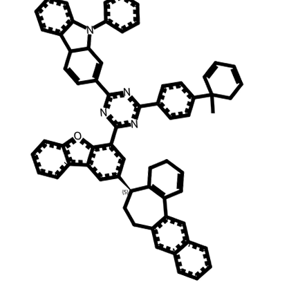 CC1(c2ccc(-c3nc(C4=CC5C(C=C4)c4ccccc4N5c4ccccc4)nc(-c4cc([C@@H]5CCc6cc7ccccc7cc6C6=C5CCC=C6)cc5c4oc4ccccc45)n3)cc2)C=CC=CC1